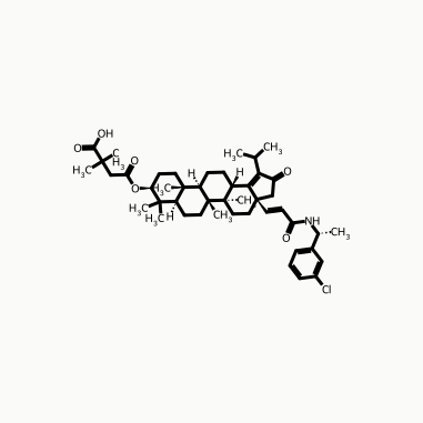 CC(C)C1=C2[C@H]3CC[C@@H]4[C@@]5(C)CC[C@H](OC(=O)CC(C)(C)C(=O)O)C(C)(C)[C@@H]5CC[C@@]4(C)[C@]3(C)CC[C@@]2(/C=C/C(=O)N[C@H](C)c2cccc(Cl)c2)CC1=O